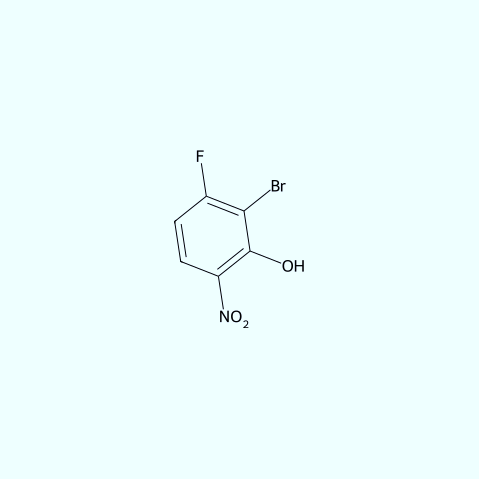 O=[N+]([O-])c1ccc(F)c(Br)c1O